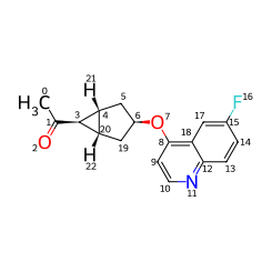 CC(=O)[C@H]1[C@@H]2C[C@@H](Oc3ccnc4ccc(F)cc34)C[C@@H]21